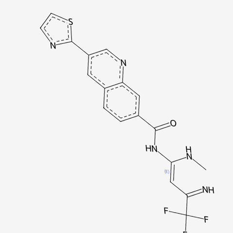 CN/C(=C\C(=N)C(F)(F)F)NC(=O)c1ccc2cc(-c3nccs3)cnc2c1